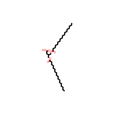 CCCCCCCCCCCCCCCCCC(=O)OCC(COC(=O)CCCCCCCCCCCCCCCCC)CC(=O)O